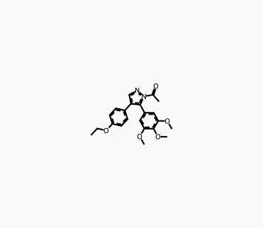 CCOc1ccc(-c2cnn(C(C)=O)c2-c2cc(OC)c(OC)c(OC)c2)cc1